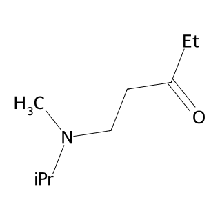 CCC(=O)CCN(C)C(C)C